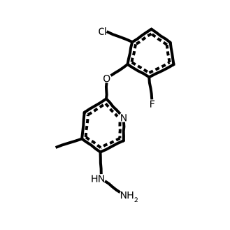 Cc1cc(Oc2c(F)cccc2Cl)ncc1NN